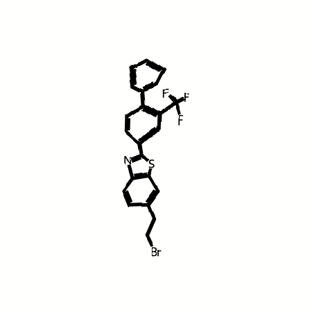 FC(F)(F)c1cc(-c2nc3ccc(CCBr)cc3s2)ccc1-c1ccccc1